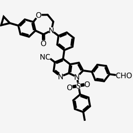 Cc1ccc(S(=O)(=O)n2c(-c3ccc(C=O)cc3)cc3c(-c4cccc(N5CCOc6cc(C7CC7)ccc6C5=O)c4)c(C#N)cnc32)cc1